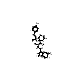 C=C(/C=C/c1ccc(F)cc1)NC1(C(=O)N(C)CCc2c[nH]c3ccc(F)cc23)CCNCC1